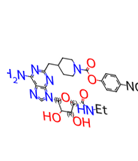 CCNC(=O)[C@H]1O[C@@H](n2cnc3c(N)nc(CC4CCN(C(=O)Oc5ccc([N+](=O)[O-])cc5)CC4)nc32)C(O)[C@H]1O